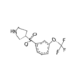 O=S(=O)(c1cccc(OC(F)(F)F)c1)C1CCNCC1